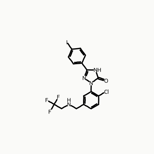 O=c1[nH]c(-c2ccc(I)cc2)nn1-c1cc(CNCC(F)(F)F)ccc1Cl